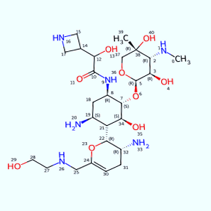 CN[C@@H]1[C@@H](O)[C@@H](O[C@H]2[C@H](NC(=O)C(O)C3CNC3)C[C@H](N)C([C@H]3OC(CNCCO)=CC[C@H]3N)[C@@H]2O)OC[C@]1(C)O